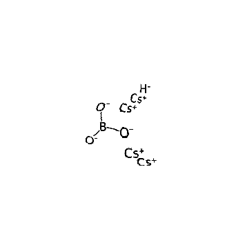 [Cs+].[Cs+].[Cs+].[Cs+].[H-].[O-]B([O-])[O-]